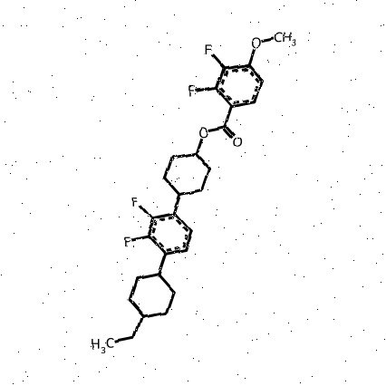 CCC1CCC(c2ccc(C3CCC(OC(=O)c4ccc(OC)c(F)c4F)CC3)c(F)c2F)CC1